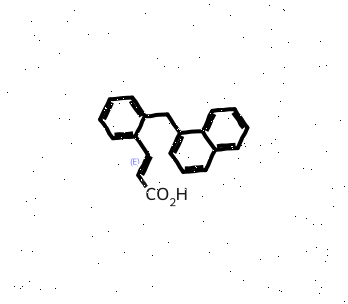 O=C(O)/C=C/c1ccccc1Cc1cccc2ccccc12